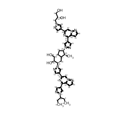 CCC(CC)n1cc(-c2nc(-c3cnn([C@H](CC4CC[C@@H](n5cc(-c6nc(-c7cnn(C[C@@H](O)CO)c7)cn7nccc67)cn5)[C@H]4C)[C@@H](O)CO)c3)cn3nccc23)cn1